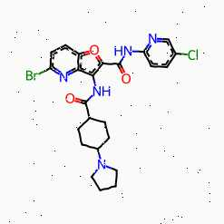 O=C(Nc1ccc(Cl)cn1)c1oc2ccc(Br)nc2c1NC(=O)C1CCC(N2CCCC2)CC1